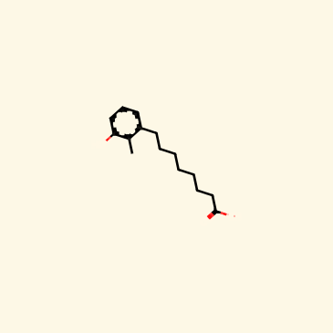 Cc1c(O)cccc1CCCCCCCC(=O)O